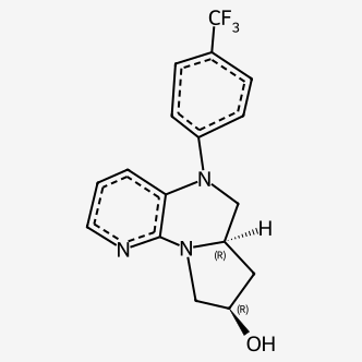 O[C@@H]1C[C@@H]2CN(c3ccc(C(F)(F)F)cc3)c3cccnc3N2C1